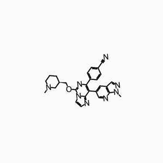 CN1CCC[C@@H](COc2nc(-c3ccc(C#N)cc3)c(-c3cnc4c(cnn4C)c3)c3nccn23)C1